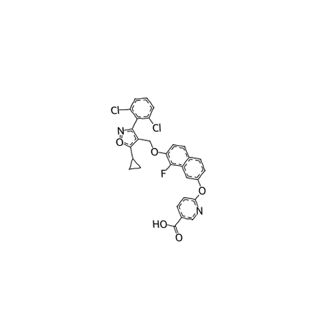 O=C(O)c1ccc(Oc2ccc3ccc(OCc4c(-c5c(Cl)cccc5Cl)noc4C4CC4)c(F)c3c2)nc1